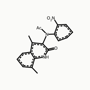 CC(=O)N(c1ccccc1[N+](=O)[O-])c1c(C)c2cccc(C)c2[nH]c1=O